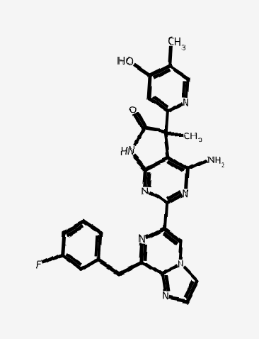 Cc1cnc(C2(C)C(=O)Nc3nc(-c4cn5ccnc5c(Cc5cccc(F)c5)n4)nc(N)c32)cc1O